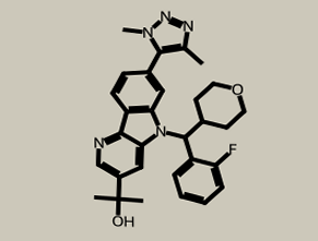 Cc1nnn(C)c1-c1ccc2c3ncc(C(C)(C)O)cc3n(C(c3ccccc3F)C3CCOCC3)c2c1